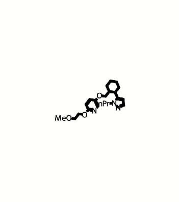 CCCn1nccc1C1CCCCC1COc1ccc(OCCOC)nc1